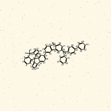 CC1(C)c2ccccc2C2(c3ccccc3-c3ccc(-c4ccc5sc6ccc(N(c7ccccc7)c7ccc(-c8ccccc8)cc7)cc6c5c4)cc32)c2ccccc21